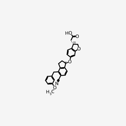 COc1cccc(Cc2c(C#N)ccc3c2CC[C@H]3Oc2ccc3c(c2)OC[C@H]3CC(=O)O)c1